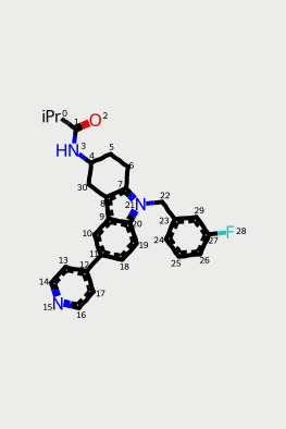 CC(C)C(=O)NC1CCc2c(c3cc(-c4ccncc4)ccc3n2Cc2cccc(F)c2)C1